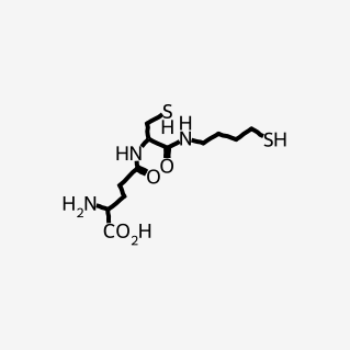 NC(CCC(=O)NC(CS)C(=O)NCCCCS)C(=O)O